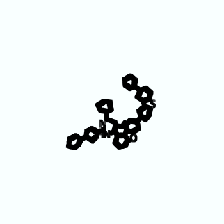 CCC1=C(c2cccc3oc4cc(-c5ccc6sc7ccc(-c8ccccc8)cc7c6c5)ccc4c23)NC(C2=CCC(C3=CCCC=C3)C=C2)N=C(c2ccccc2)C1